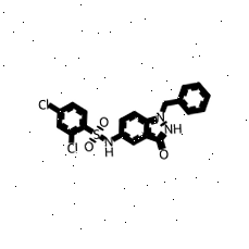 O=c1[nH]n(Cc2ccccc2)c2ccc(NS(=O)(=O)c3ccc(Cl)cc3Cl)cc12